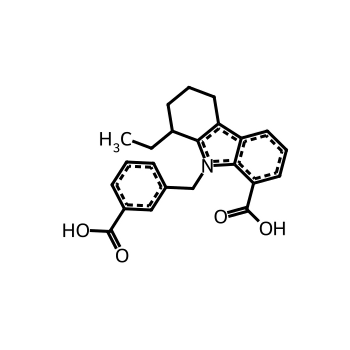 CCC1CCCc2c1n(Cc1cccc(C(=O)O)c1)c1c(C(=O)O)cccc21